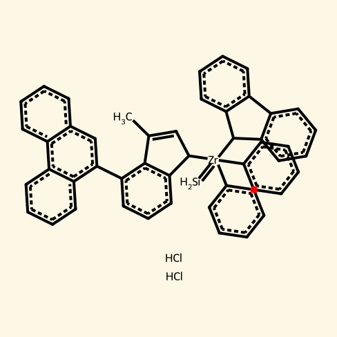 CC1=C[CH]([Zr](=[SiH2])([c]2ccccc2)([c]2ccccc2)[CH]2c3ccccc3-c3ccccc32)c2cccc(-c3cc4ccccc4c4ccccc34)c21.Cl.Cl